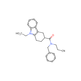 N#CCCN(Cc1ccccc1)C(=O)C1CCc2c(c3ccccc3n2CC(=O)O)C1